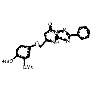 COc1ccc(OCc2cc(=O)n3nc(-c4ccccc4)nc3[nH]2)cc1OC